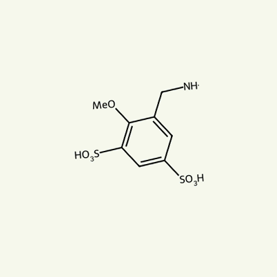 COc1c(C[NH])cc(S(=O)(=O)O)cc1S(=O)(=O)O